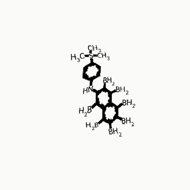 Bc1c(B)c(B)c2c(B)c(Nc3ccc(S(C)(C)C)cc3)c(B)c(B)c2c1B